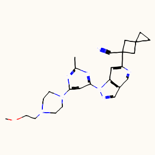 COCCN1CCN(c2cc(-n3ncc4cnc(C5(C#N)CC6(CC6)C5)cc43)nc(C)n2)CC1